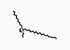 CCCCCCCCCCCCCCCCCCc1n(CCCCCCCCCC)cc[n+]1CCC